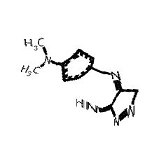 CN(C)c1ccc(N=C2CN=NC2=N)cc1